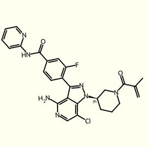 C=C(C)C(=O)N1CCC[C@@H](n2nc(-c3ccc(C(=O)Nc4ccccn4)cc3F)c3c(N)ncc(Cl)c32)C1